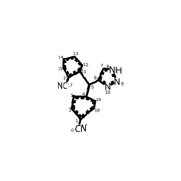 N#Cc1ccc(C(c2c[nH]nn2)c2ccccc2C#N)cc1